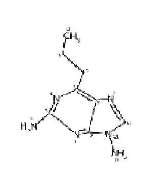 CCCc1nc(N)nc2c1ncn2N